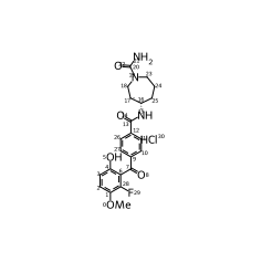 COc1ccc(O)c(C(=O)c2ccc(C(=O)N[C@@H]3[CH]CN(C(N)=O)CCC3)cc2)c1F.Cl